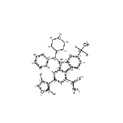 Cc1noc(C)c1-c1cc(C(N)=O)c2c3ccc(C(C)(C)O)cc3n(C(c3ccccc3)C3CCOCC3)c2c1